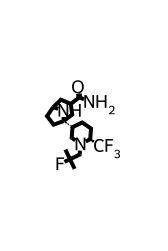 CC(C)(F)CN1C[C@H](C23CCC(CC(C(N)=O)C2)N3)CC[C@H]1C(F)(F)F